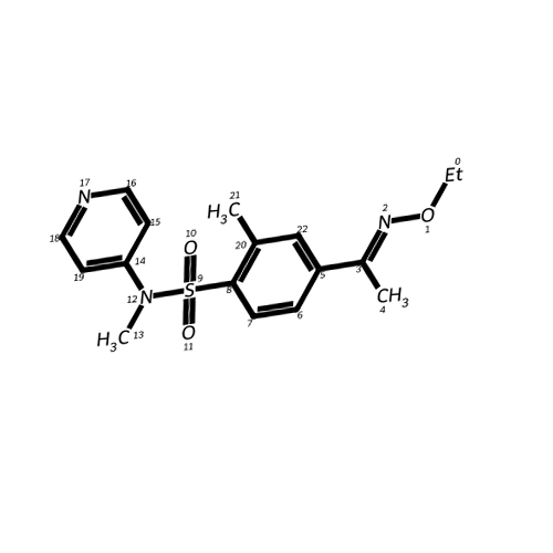 CCON=C(C)c1ccc(S(=O)(=O)N(C)c2ccncc2)c(C)c1